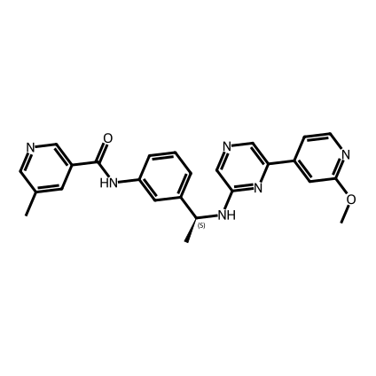 COc1cc(-c2cncc(N[C@@H](C)c3cccc(NC(=O)c4cncc(C)c4)c3)n2)ccn1